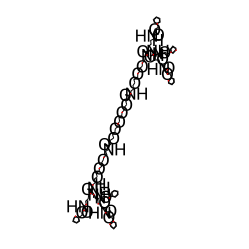 O=C(CCOCCOCCOCCOCCOCCC(=O)NCCCOCCOCCOCCCNC(=O)[C@H](CCCCNC(=O)OCc1ccccc1)NC(=O)[C@H](CCCCNC(=O)OCc1ccccc1)NC(=O)OCc1ccccc1)NCCCOCCOCCOCCCNC(=O)[C@H](CCCCNC(=O)OCc1ccccc1)NC[C@H](CCCCNC(=O)OCc1ccccc1)NC(=O)OCc1ccccc1